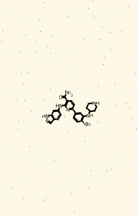 CC(C)(C)c1ccc(-c2ccc(C(N)=O)c(Nc3ccc4cn[nH]c4c3)n2)cc1NC1CCNCC1